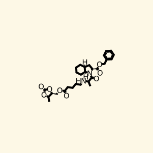 CC(NCCCCC(=O)OC[C@@H]1OC(=O)OC1C)C(=O)N1[C@H](C(=O)OCc2ccccc2)C[C@@H]2CCCC[C@@H]21